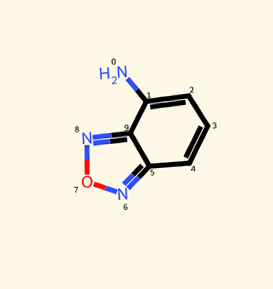 Nc1cccc2nonc12